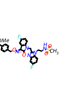 COC(=O)c1ccc(CO/N=C2/C(=O)N(Cc3nc4cc(F)ccc4n3CCNS(C)(=O)=O)c3ccc(F)cc32)cc1